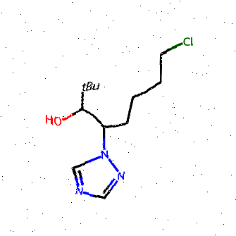 CC(C)(C)C(O)C(CCCCCl)n1cncn1